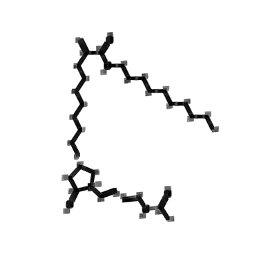 C=C(CCCCCCCC)C(=O)OCCCCCCCCCC.C=CN1CCCC1=O.C=COC(C)=O